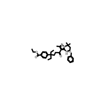 CCOC(=O)c1ccc(C(CC)(CC)CCC(=O)c2c(C)nn3c2N[C@@H](Cc2ccccc2)CC3(C)C)cc1